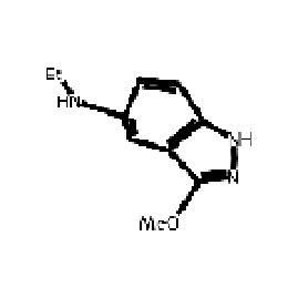 CCNc1ccc2[nH]nc(OC)c2c1